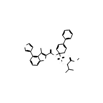 COC(=O)[C@@H](NS(=O)(=O)C1(NC(=O)c2oc3cccc(-c4ccoc4)c3c2C)C=CC(c2ccccc2)=CC1)C(C)C